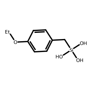 CCOc1ccc(C[Si](O)(O)O)cc1